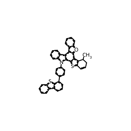 CC1CC=Cc2sc3c(c21)c1oc2ccccc2c1c1c2ccccc2n(-c2ccc(-c4cccc5c4sc4ccccc45)cc2)c31